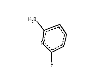 Bc1cccc(F)n1